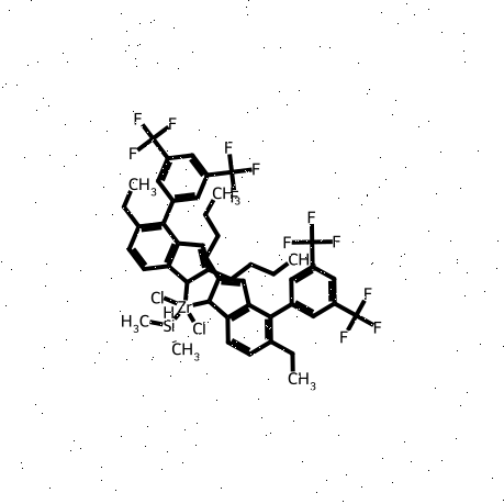 CCCCC1=Cc2c(ccc(CC)c2-c2cc(C(F)(F)F)cc(C(F)(F)F)c2)[CH]1[Zr]([Cl])([Cl])([CH]1C(CCCC)=Cc2c1ccc(CC)c2-c1cc(C(F)(F)F)cc(C(F)(F)F)c1)[SiH](C)C